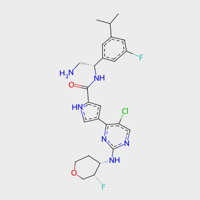 CC(C)c1cc(F)cc([C@@H](CN)NC(=O)c2cc(-c3nc(N[C@H]4CCOC[C@H]4F)ncc3Cl)c[nH]2)c1